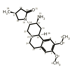 COc1cc2c(cc1OC)[C@@H]1C[C@H](N)[C@@H](N3C[C@@H](C)CC3=O)CN1CC2